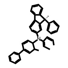 C/C=C\C(=C/C)N(c1ccc2c(c1)[C@](C)(c1ccccc1)c1ccccc1-2)C1C=CC(c2ccccc2)=CC1C